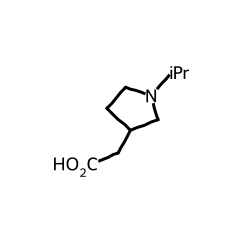 CC(C)N1CCC(CC(=O)O)C1